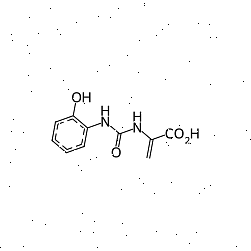 C=C(NC(=O)Nc1ccccc1O)C(=O)O